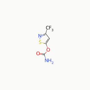 NC(=O)Oc1cc(C(F)(F)F)ns1